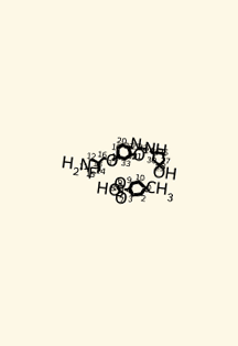 Cc1ccc(S(=O)(=O)O)cc1.NCC(=CF)COc1ccc2nc(NC3CCC(O)C3)oc2c1